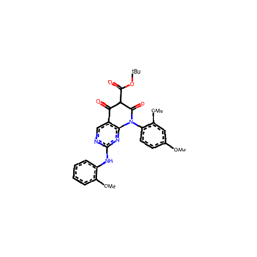 COc1ccc(N2C(=O)C(C(=O)OC(C)(C)C)C(=O)c3cnc(Nc4ccccc4OC)nc32)c(OC)c1